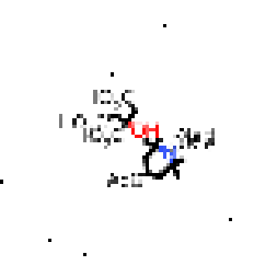 CON1C(C)(C)CC(OC(C)=O)CC1(C)C.O=C(O)CC(O)(CC(=O)O)C(=O)O.[NaH]